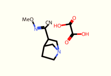 CON=C(C#N)C1CN2CCC1C2.O=C(O)C(=O)O